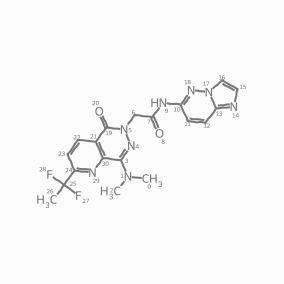 CN(C)c1nn(CC(=O)Nc2ccc3nccn3n2)c(=O)c2ccc(C(C)(F)F)nc12